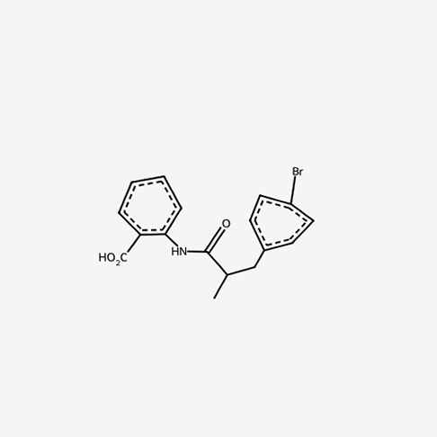 CC(Cc1ccc(Br)cc1)C(=O)Nc1ccccc1C(=O)O